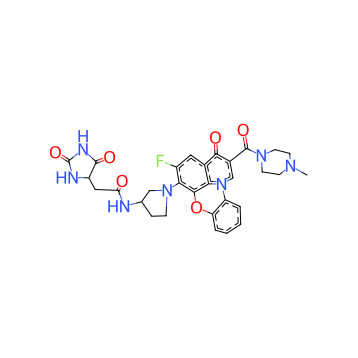 CN1CCN(C(=O)c2cn3c4c(c(N5CCC(NC(=O)CC6NC(=O)NC6=O)C5)c(F)cc4c2=O)Oc2ccccc2-3)CC1